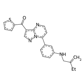 C=C(CC)CNc1cccc(-c2ccnc3c(C(=O)c4cccs4)cnn23)c1